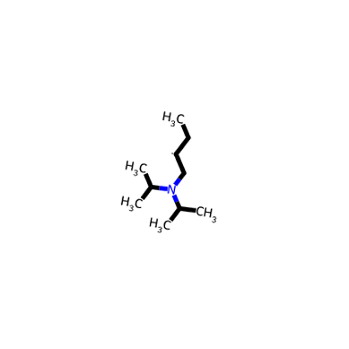 CC[CH]CN(C(C)C)C(C)C